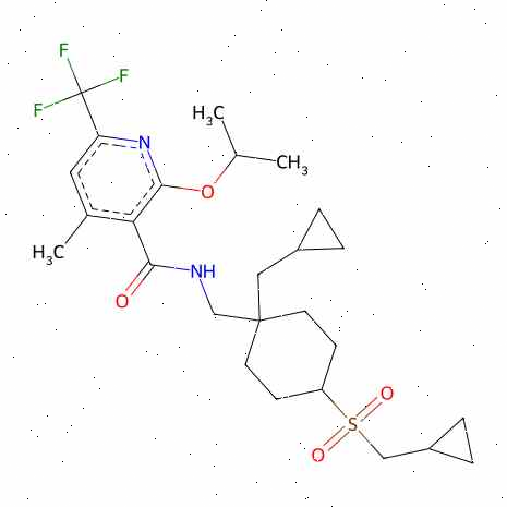 Cc1cc(C(F)(F)F)nc(OC(C)C)c1C(=O)NCC1(CC2CC2)CCC(S(=O)(=O)CC2CC2)CC1